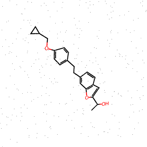 CC(O)c1cc2ccc(CCc3ccc(OCC4CC4)cc3)cc2o1